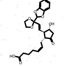 O=C(O)CCC/C=C\C[C@H]1C(=O)C[C@@H](O)[C@@H]1/C=C/C1(C2Oc3ccccc3O2)OCCO1